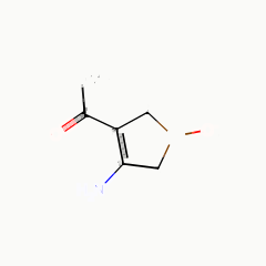 COC(=O)C1=C(N)C[S+]([O-])C1